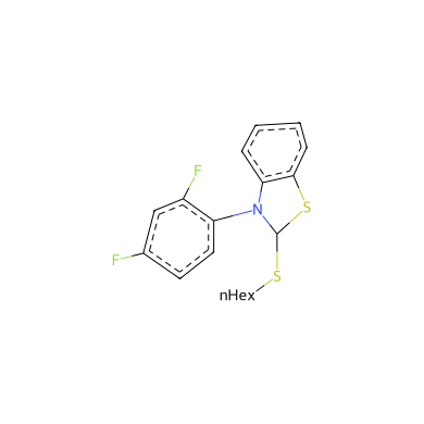 CCCCCCSC1Sc2ccccc2N1c1ccc(F)cc1F